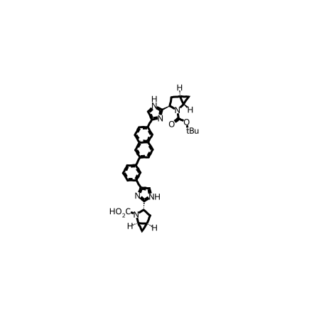 CC(C)(C)OC(=O)N1[C@@H](c2nc(-c3ccc4cc(-c5cccc(-c6c[nH]c([C@@H]7C[C@H]8C[C@H]8N7C(=O)O)n6)c5)ccc4c3)c[nH]2)C[C@H]2C[C@@H]21